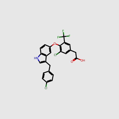 O=C(O)Cc1cc(Cl)c(Oc2ccc3[nH]cc(Cc4ccc(Cl)cc4)c3c2)c(C(F)(F)F)c1